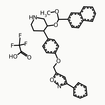 COC(OC1CNCCC1c1ccc(OCc2cc(-c3ccccc3)no2)cc1)c1ccc2ccccc2c1.O=C(O)C(F)(F)F